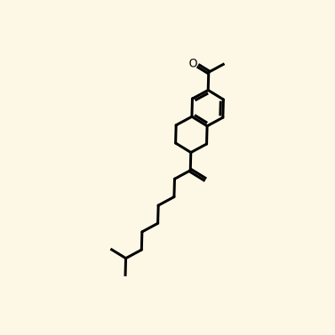 C=C(CCCCCCC(C)C)C1CCc2cc(C(C)=O)ccc2C1